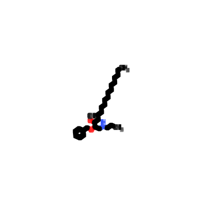 CCCCCCCCCCCCCCCC(OC)C(CNCCC)OCc1ccccc1